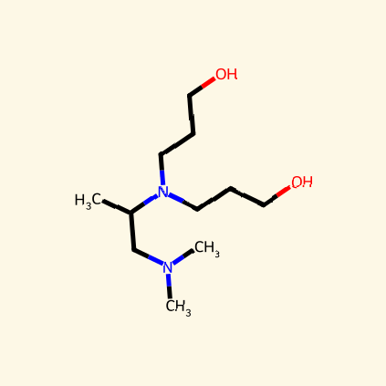 CC(CN(C)C)N(CCCO)CCCO